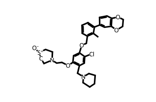 Cc1c(COc2cc(OCCN3CC[S+]([O-])CC3)c(CN3CCCCC3)cc2Cl)cccc1-c1ccc2c(c1)OCCO2